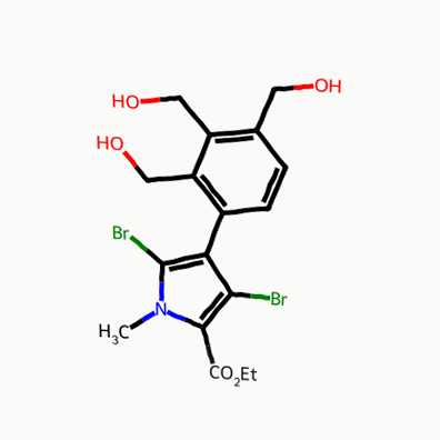 CCOC(=O)c1c(Br)c(-c2ccc(CO)c(CO)c2CO)c(Br)n1C